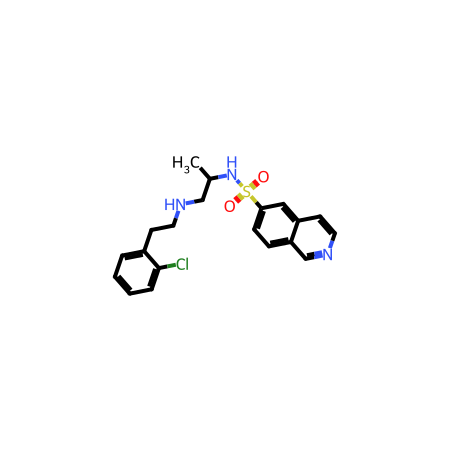 CC(CNCCc1ccccc1Cl)NS(=O)(=O)c1ccc2cnccc2c1